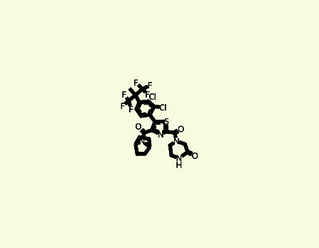 CC(c1ccc(-c2sc(C(=O)N3CCNC(=O)C3)nc2C(=O)N2C3CCC2CC3)c(Cl)c1Cl)(C(F)(F)F)C(F)(F)F